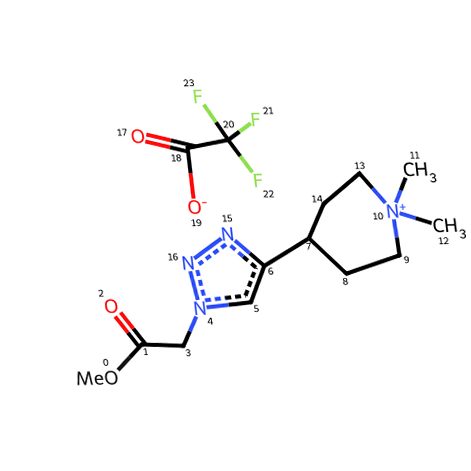 COC(=O)Cn1cc(C2CC[N+](C)(C)CC2)nn1.O=C([O-])C(F)(F)F